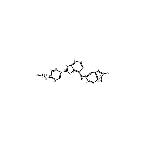 Cc1cc2cc(Nc3ccnc4cc(-c5ccc(CNC(C)C)cc5)sc34)ccc2[nH]1